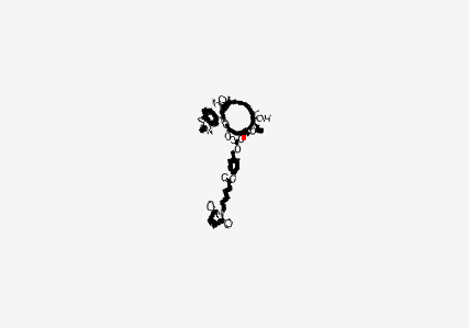 C=CC[C@H]1C(=O)C(C)(C)[C@@H](OC(=O)OCc2ccc(OC(=O)CCCCCN3C(=O)C=CC3=O)cc2)CC(=O)O[C@H](c2ccc3sc(C)nc3c2)C[C@@H]2O[C@]2(C)CCC[C@H](C)[C@@H]1O